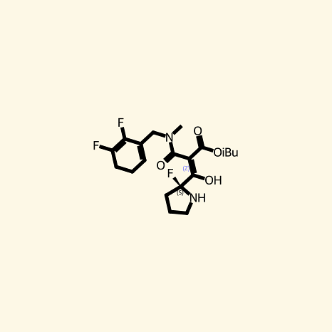 CC(C)COC(=O)/C(C(=O)N(C)CC1=CCCC(F)=C1F)=C(\O)[C@@]1(F)CCCN1